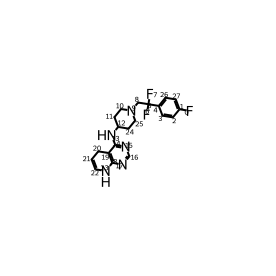 Fc1ccc(C(F)(F)CN2CCC(Nc3ncnc4c3CC=CN4)CC2)cc1